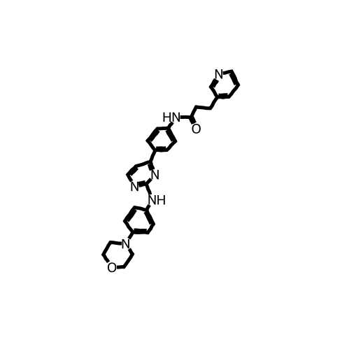 O=C(CCc1cccnc1)Nc1ccc(-c2ccnc(Nc3ccc(N4CCOCC4)cc3)n2)cc1